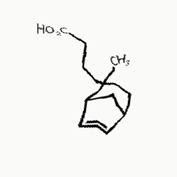 CC1(CCC(=O)O)CC2C=CC1C2